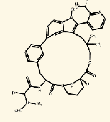 CCn1c(-c2cccnc2[C@H](C)OC)c2c3cc(ccc31)-c1cccc(c1)C[C@H](NC(=O)C(C(C)C)N(C)C=O)C(=O)N1CCC[C@H](N1)C(=O)OCC(C)(C)C2